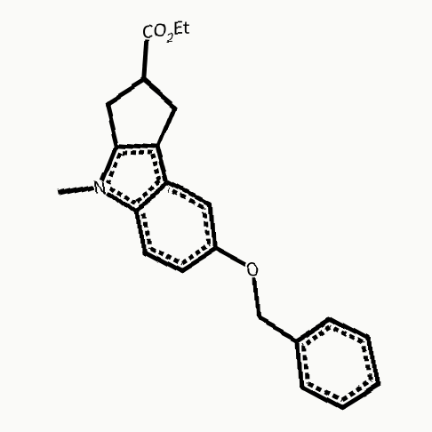 CCOC(=O)C1Cc2c(n(C)c3ccc(OCc4ccccc4)cc23)C1